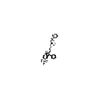 CC(C)(CC(=O)CCCCc1nn2ccc(C(F)(F)F)cc2c1-c1ccccc1)c1ccccn1